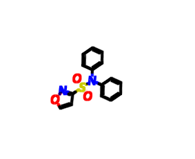 O=S(=O)(c1ccon1)N(c1ccccc1)c1ccccc1